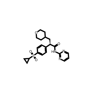 O=C(Nc1ncccn1)[C@H](CC1CCOCC1)c1ccc(S(=O)(=O)C2CC2)cc1